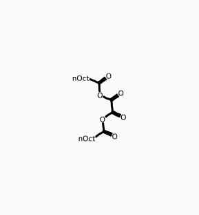 CCCCCCCCC(=O)OC(=O)C(=O)OC(=O)CCCCCCCC